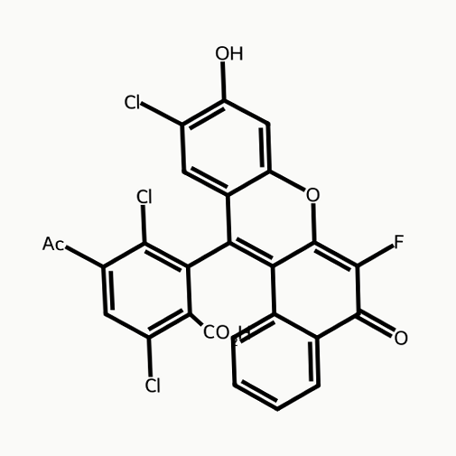 CC(=O)c1cc(Cl)c(C(=O)O)c(-c2c3c4ccccc4c(=O)c(F)c-3oc3cc(O)c(Cl)cc23)c1Cl